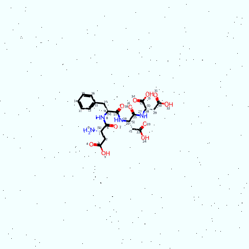 N[C@@H](CC(=O)O)C(=O)N[C@@H](Cc1ccccc1)C(=O)N[C@@H](CC(=O)O)C(=O)N[C@@H](CC(=O)O)C(=O)O